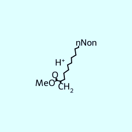 C=C(CCCCCCCCCCCCCCCCCC)C(=O)OC.[H+]